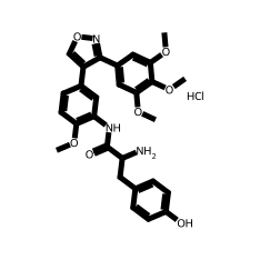 COc1ccc(-c2conc2-c2cc(OC)c(OC)c(OC)c2)cc1NC(=O)C(N)Cc1ccc(O)cc1.Cl